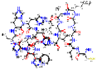 CC(C)C[C@H](NC(=O)CNC(=O)[C@H](Cc1ccccc1)NC(=O)[C@H](C)NC(=O)[C@H](CC(=O)O)NC(=O)[C@H](CC(C)C)NC(=O)[C@H](CC(N)=O)NC(=O)[C@@H](NC(=O)[C@H](CCC(=O)O)NC(=O)CNC(=O)CNC(=O)[C@H](CC(C)C)NC(=O)[C@@H](N)CS)C(C)C)C(=O)N[C@@H](Cc1c[nH]cn1)C(=O)N[C@@H](Cc1c[nH]cn1)C(=O)N[C@@H](Cc1c[nH]cn1)C(=O)N[C@@H](Cc1c[nH]cn1)C(=O)N[C@@H](Cc1c[nH]cn1)C(=O)O